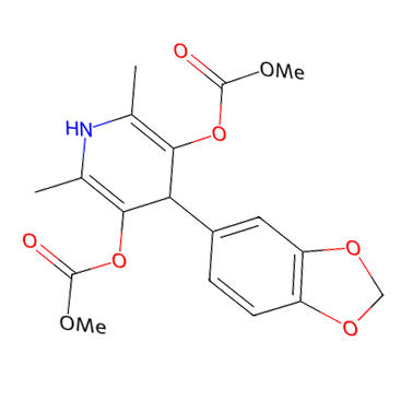 COC(=O)OC1=C(C)NC(C)=C(OC(=O)OC)C1c1ccc2c(c1)OCO2